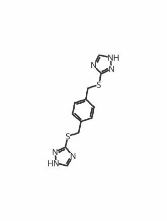 c1nc(SCc2ccc(CSc3nc[nH]n3)cc2)n[nH]1